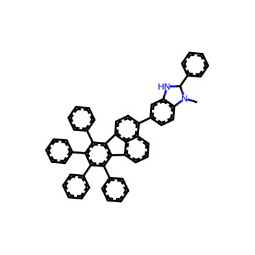 CN1c2ccc(-c3ccc4c5c(cccc35)-c3c(-c5ccccc5)c(-c5ccccc5)c(-c5ccccc5)c(-c5ccccc5)c3-4)cc2NC1c1ccccc1